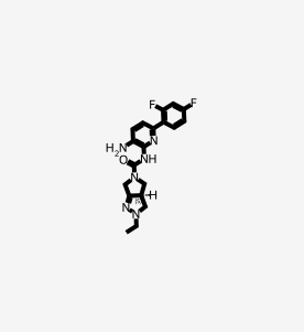 CCN1C[C@@H]2CN(C(=O)Nc3nc(-c4ccc(F)cc4F)ccc3N)CC2=N1